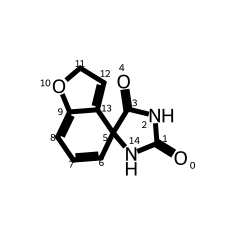 O=C1NC(=O)C2(C=CC=C3OCC=C32)N1